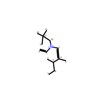 C=CN(/C=C(/C)C(C)CC)CC(C)(C)C